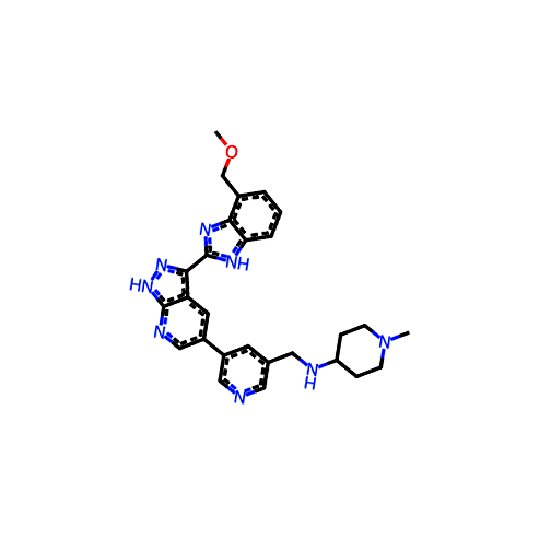 COCc1cccc2[nH]c(-c3n[nH]c4ncc(-c5cncc(CNC6CCN(C)CC6)c5)cc34)nc12